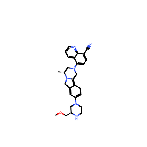 COC[C@H]1CN(C2=CCC3=C4CN(c5ccc(C#N)c6ncccc56)C[C@@H](C)N4CC3=C2)CCN1